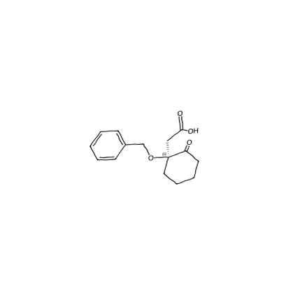 O=C(O)C[C@@]1(OCc2ccccc2)CCCCC1=O